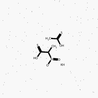 CC(C(O)=S)[N+](=O)[O-].CC(O)=S.[KH]